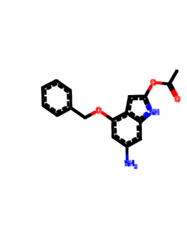 CC(=O)Oc1cc2c(OCc3ccccc3)cc(N)cc2[nH]1